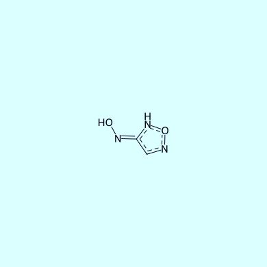 ON=c1cno[nH]1